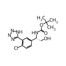 CC(C)(C)OC(=O)N[C@H](CO)c1ccc(Cl)c(-c2nnn[nH]2)c1